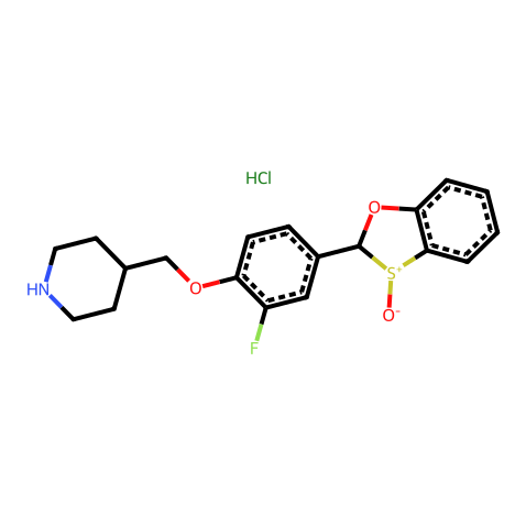 Cl.[O-][S+]1c2ccccc2OC1c1ccc(OCC2CCNCC2)c(F)c1